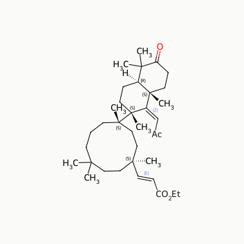 CCOC(=O)/C=C/[C@@]1(C)CCC(C)(C)CCC[C@](C)([C@]2(C)CC[C@H]3C(C)(C)C(=O)CC[C@]3(C)/C2=C/C(C)=O)CC1